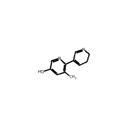 Cc1cc(O)cnc1C1=CCCN=C1